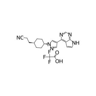 N#CCC[C@H]1CC[C@@H](n2cc(-c3ncnc4[nH]ccc34)cn2)CC1.O=C(O)C(F)(F)F